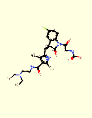 CCN(CC)CCNC(=O)c1c(C)[nH]c(/C=C2\C(=O)N(C(=O)CNC(=O)O)c3ccc(F)cc32)c1C